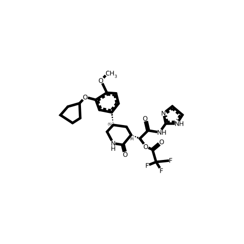 COc1ccc([C@H]2CNC(=O)[C@@H](C(OC(=O)C(F)(F)F)C(=O)Nc3ncc[nH]3)C2)cc1OC1CCCC1